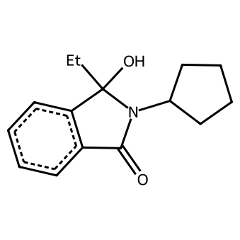 CCC1(O)c2ccccc2C(=O)N1C1CCCC1